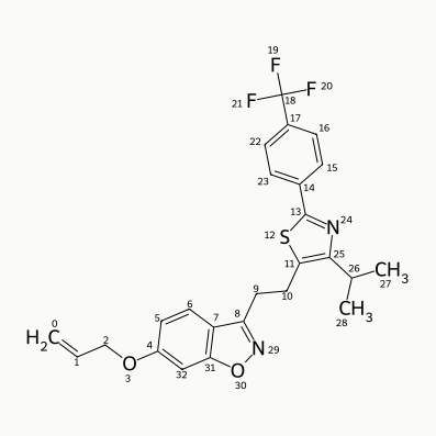 C=CCOc1ccc2c(CCc3sc(-c4ccc(C(F)(F)F)cc4)nc3C(C)C)noc2c1